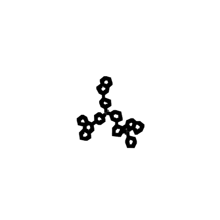 c1ccc(-n2c3cccc(-c4cccc(N(c5ccc(-c6ccc7ccccc7c6)cc5)c5ccc(-c6cc7ccccc7c7ccccc67)cc5)c4)c3c3ccc4ccccc4c32)cc1